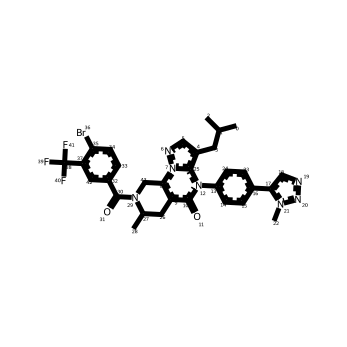 CC(C)Cc1cnn2c3c(c(=O)n(-c4ccc(-c5cnnn5C)cc4)c12)CC(C)N(C(=O)c1ccc(Br)c(C(F)(F)F)c1)C3